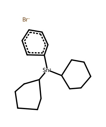 [Br-].c1cc[c]([Sn+]([CH]2CCCCC2)[CH]2CCCCC2)cc1